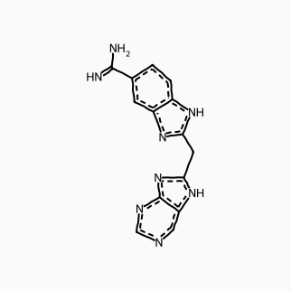 N=C(N)c1ccc2[nH]c(Cc3nc4ncncc4[nH]3)nc2c1